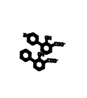 O=C([O-])c1cccc(-c2ccccc2)c1O.O=C([O-])c1cccc(-c2ccccc2)c1O.[Zn+2]